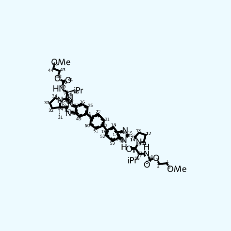 COCCOC(=O)N[C@H](C(=O)N1CCC[C@H]1c1nc2cc(-c3ccc(-c4ccc5[nH]c([C@@]6(C)CCCN6C(=O)[C@@H](NC(=O)OCCOC)C(C)C)nc5c4)cc3)ccc2[nH]1)C(C)C